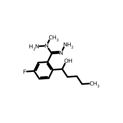 CCCCC(O)c1ccc(F)cc1/C(=N/N)N(C)N